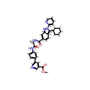 COC(=O)c1cncc(-c2ccc(NC(=O)[C@@H](C)NC(=O)c3ccc4c(C5CCCCC5)n(-c5ccccn5)nc4c3)cc2)c1